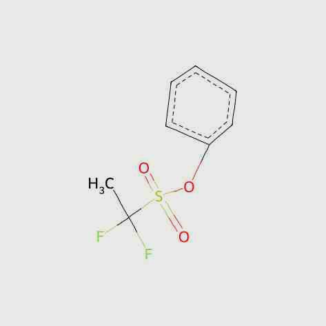 CC(F)(F)S(=O)(=O)Oc1ccccc1